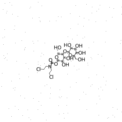 O=[P](O[C@H]1O[C@H](CO)[C@@H](O[C@@H]2O[C@H](CO)[C@H](O)[C@H](O)[C@H]2O)[C@H](O)[C@H]1O)N(CCCl)CCCl